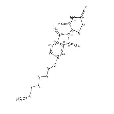 O=C(O)CCCCCCOc1ccc2c(c1)C(=O)N(C1CCC(=O)NC1=O)C2=O